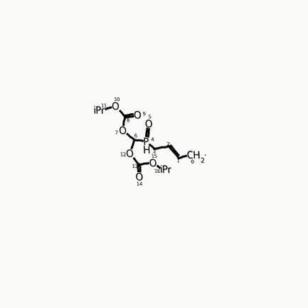 [CH2]C=CC[PH](=O)C(OC(=O)OC(C)C)OC(=O)OC(C)C